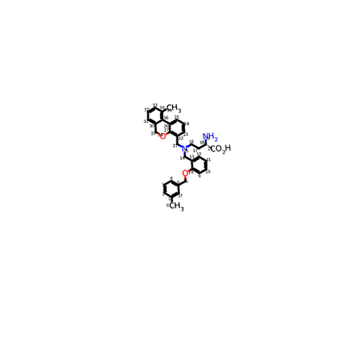 Cc1cccc(COc2ccccc2CN(CC[C@H](N)C(=O)O)Cc2cccc3c2OCc2cccc(C)c2-3)c1